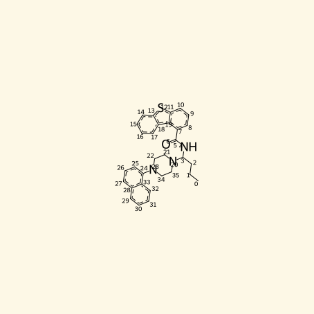 CCCC(NC(=O)c1cccc2sc3ccccc3c12)N1CCN(c2cccc3ccccc23)CC1